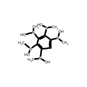 CN(O)c1cc(N(C)O)c(N(C)O)c(N(C)O)c1N(C)O